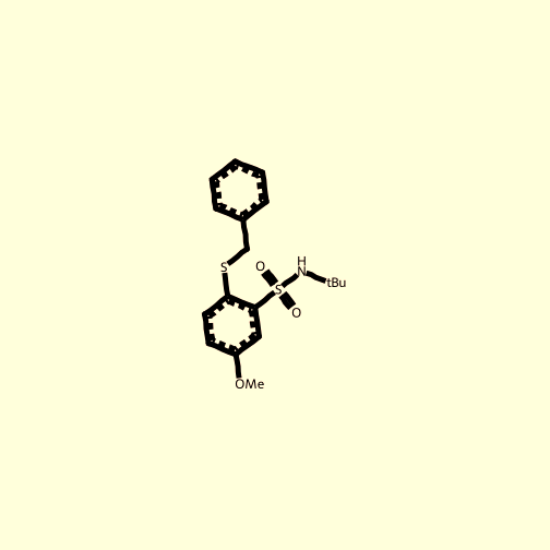 COc1ccc(SCc2ccccc2)c(S(=O)(=O)NC(C)(C)C)c1